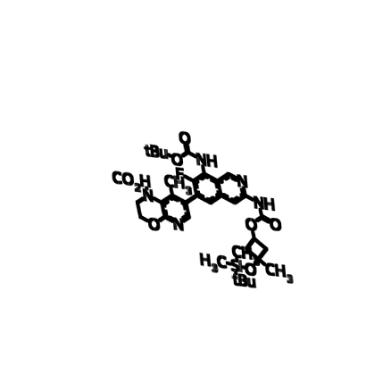 Cc1c(-c2cc3cc(NC(=O)OC4CC(C)(O[Si](C)(C)C(C)(C)C)C4)ncc3c(NC(=O)OC(C)(C)C)c2F)cnc2c1N(C(=O)O)CCO2